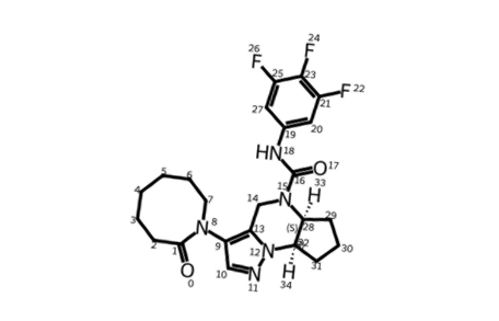 O=C1CCCCCCN1c1cnn2c1CN(C(=O)Nc1cc(F)c(F)c(F)c1)[C@H]1CCC[C@H]12